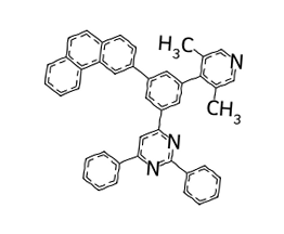 Cc1cncc(C)c1-c1cc(-c2ccc3ccc4ccccc4c3c2)cc(-c2cc(-c3ccccc3)nc(-c3ccccc3)n2)c1